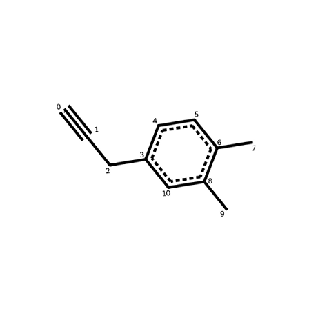 [C]#CCc1ccc(C)c(C)c1